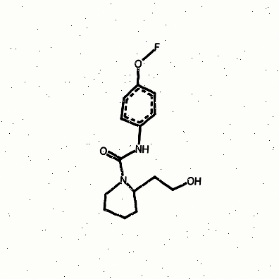 O=C(Nc1ccc(OF)cc1)N1CCCCC1CCO